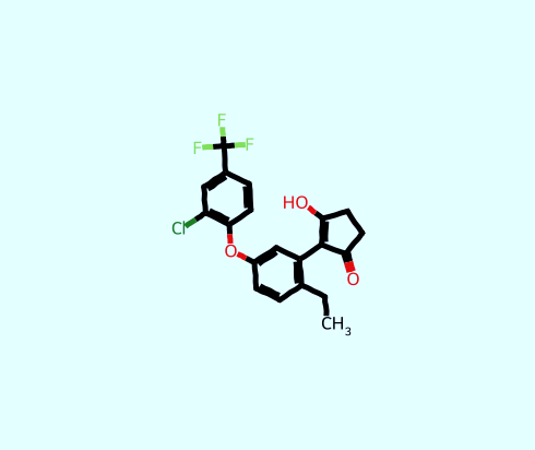 CCc1ccc(Oc2ccc(C(F)(F)F)cc2Cl)cc1C1=C(O)CCC1=O